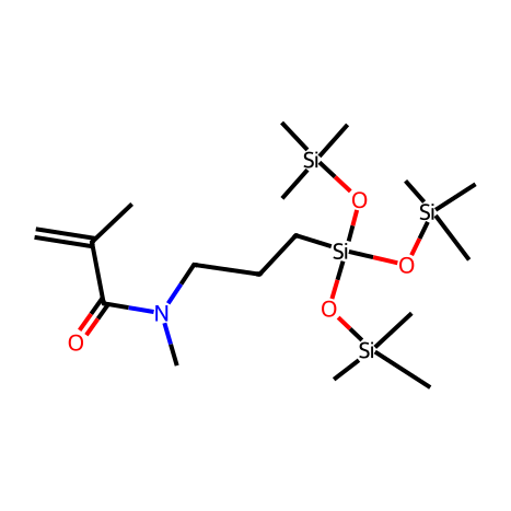 C=C(C)C(=O)N(C)CCC[Si](O[Si](C)(C)C)(O[Si](C)(C)C)O[Si](C)(C)C